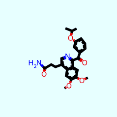 COc1cc2c(CCC(N)=O)cnc(C(=O)c3cccc(OC(C)C)c3)c2cc1OC